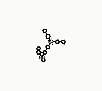 c1ccc(-c2ccc(-c3nc(-c4ccc(-c5ccccc5)cc4)nc(-c4ccc(-c5ccc6c(c5)c5c7ccccc7ccc5c5nc7ccccn7c65)cc4)n3)cc2)cc1